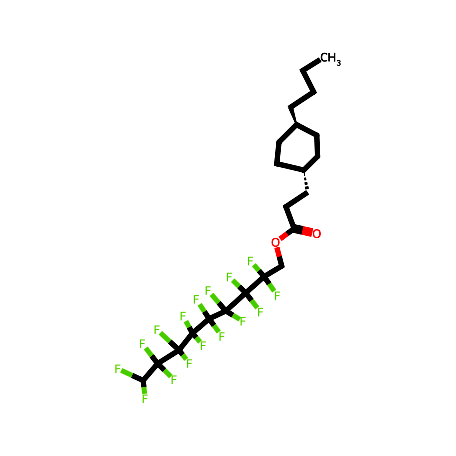 CCCC[C@H]1CC[C@H](CCC(=O)OCC(F)(F)C(F)(F)C(F)(F)C(F)(F)C(F)(F)C(F)(F)C(F)(F)C(F)F)CC1